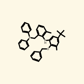 Cc1cc(C(C)(C)C)cc(Pc2c(C)cccc2CP(c2ccccc2)c2ccccc2)c1OCc1ccccc1